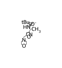 C[C@@H](N[S+]([O-])C(C)(C)C)c1cc(CN2CCOCC2)on1